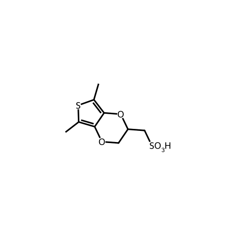 Cc1sc(C)c2c1OCC(CS(=O)(=O)O)O2